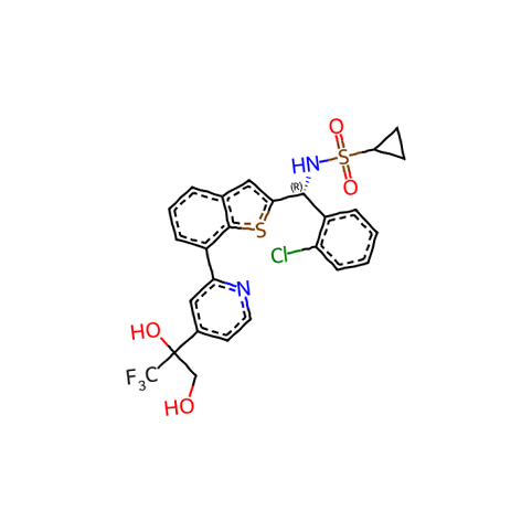 O=S(=O)(N[C@@H](c1cc2cccc(-c3cc(C(O)(CO)C(F)(F)F)ccn3)c2s1)c1ccccc1Cl)C1CC1